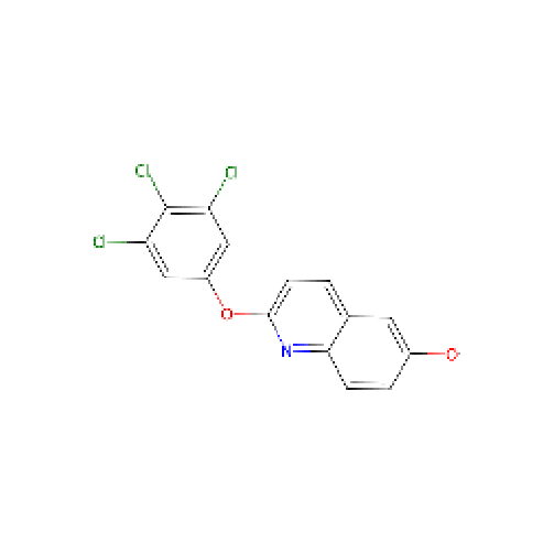 [O]c1ccc2nc(Oc3cc(Cl)c(Cl)c(Cl)c3)ccc2c1